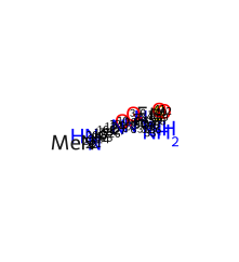 CCN(C(=O)[C@@H]1CCN(CC(=O)N2CC=C(c3ccc(C(=N)/N=C\NC)cc3)CC2)C1)c1ccc(N)c(C(=N)C2CCS(=O)(=O)CC2)c1